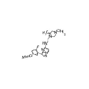 COc1ccc(F)c(-c2cnn3ccc(NCCN4CCN(C)C[C@@H]4C)nc23)c1